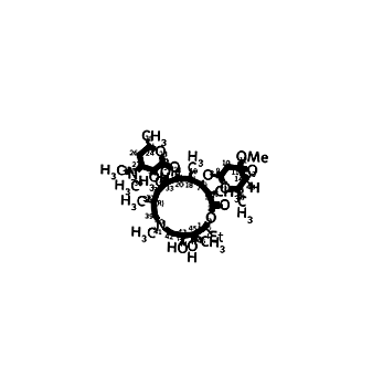 CC[C@H]1OC(=O)[C@H](C)[C@@H](O[C@H]2CC3(OC)O[C@H]3[C@@H](C)O2)[C@H](C)[C@@H](O[C@@H]2O[C@H](C)CC(N(C)C)C2O)[C@](C)(O)C[C@@H](C)CN(C)C[C@H](O)[C@]1(C)O